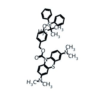 CN(C)c1ccc2c(c1)Sc1cc(N(C)C)ccc1N2C(=O)OCc1ccc(O[Si](c2ccccc2)(c2ccccc2)C(C)(C)C)cc1